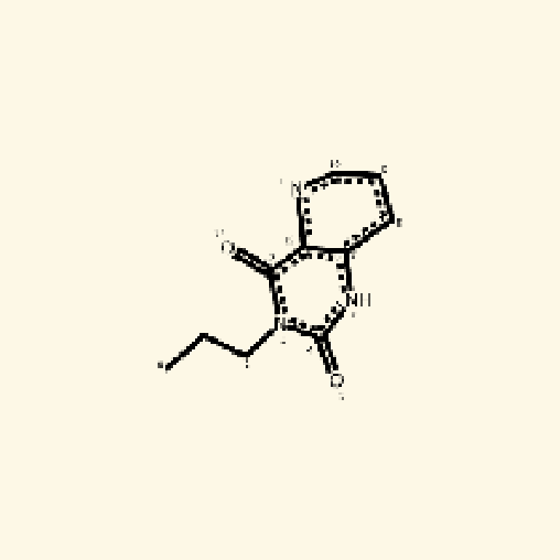 CCCn1c(=O)[nH]c2cccnc2c1=O